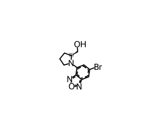 OC[C@@H]1CCCN1c1cc(Br)cc2nonc12